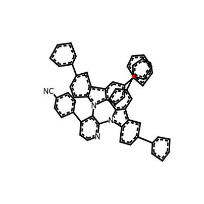 N#Cc1ccc(-c2ccnc(-n3c4ccc(-c5ccccc5)cc4c4cc(-c5ccccc5)ccc43)c2-n2c3ccc(-c4ccccc4)cc3c3cc(-c4ccccc4)ccc32)cc1